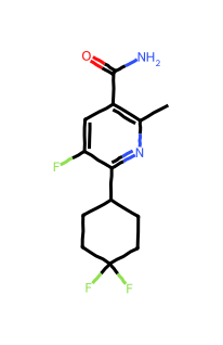 Cc1nc(C2CCC(F)(F)CC2)c(F)cc1C(N)=O